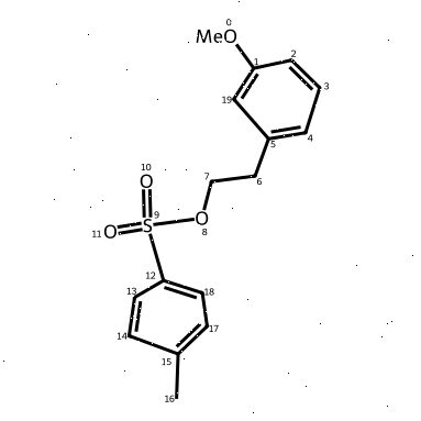 COc1cccc(CCOS(=O)(=O)c2ccc(C)cc2)c1